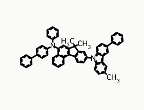 Cc1ccc2c(c1)c1cc(-c3ccccc3)ccc1n2-c1ccc2c(c1)C(C)(C)c1cc(N(c3ccccc3)c3ccc(-c4ccccc4)cc3)c3ccccc3c1-2